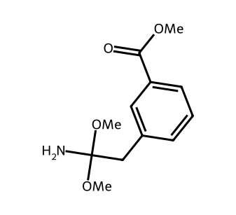 COC(=O)c1cccc(CC(N)(OC)OC)c1